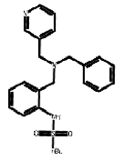 CCCCS(=O)(=O)Nc1ccccc1CN(Cc1ccccc1)Cc1cccnc1